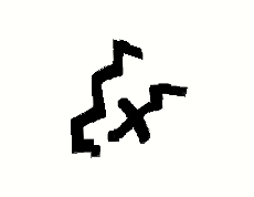 CCCCCCCCCCCC(C)(C)Cl.CCCCCCCCCCCCCCN